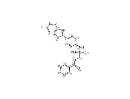 Cc1ccc2nc(-c3ccc(NS(=O)(=O)COC(=O)c4ccccc4)cc3)sc2c1